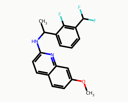 COc1ccc2ccc(NC(C)c3cccc(C(F)F)c3F)nc2c1